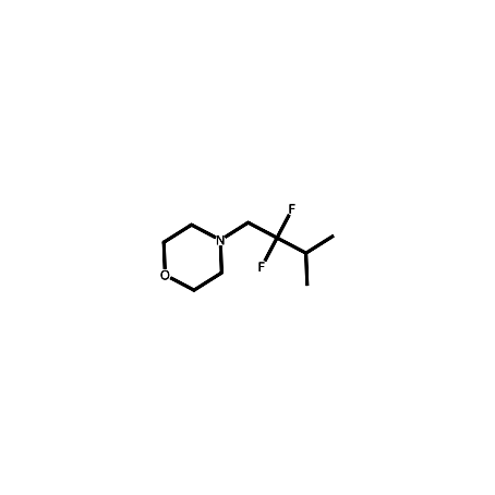 CC(C)C(F)(F)CN1CCOCC1